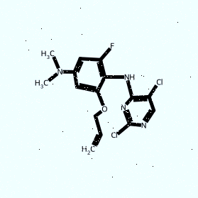 C=CCOc1cc(N(C)C)cc(F)c1Nc1nc(Cl)ncc1Cl